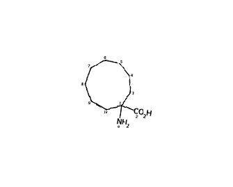 NC1(C(=O)O)CCCCCCCC1